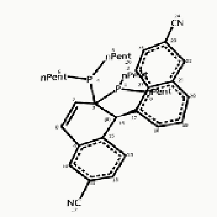 CCCCCP(CCCCC)C1(P(CCCCC)CCCCC)C=Cc2cc(C#N)ccc2[C@@H]1c1cccc2cc(C#N)ccc12